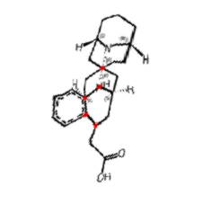 O=C(O)CCc1ccccc1N[C@H]1C[C@H]2CCC[C@@H](C1)N2[C@H]1C[C@@H]2CCC[C@@H](C2)C1